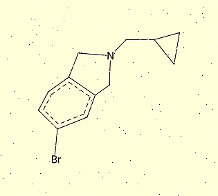 Brc1ccc2c(c1)CN(CC1CC1)C2